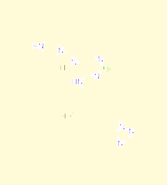 Cc1cc(Nc2ncnc3ccc(N4CCNCC4C)nc23)ccc1Cc1ccn2ncnc2c1.Cl